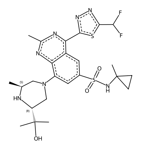 Cc1nc(-c2nnc(C(F)F)s2)c2cc(S(=O)(=O)NC3(C)CC3)cc(N3C[C@H](C)N[C@@H](C(C)(C)O)C3)c2n1